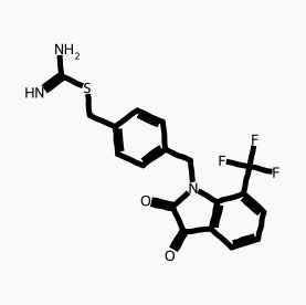 N=C(N)SCc1ccc(CN2C(=O)C(=O)c3cccc(C(F)(F)F)c32)cc1